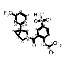 C[C@@H](Oc1ccc(S(C)(=O)=O)cc1C(=O)N1CC2CC2(c2nccc(C(F)(F)F)n2)C1)C(F)(F)F